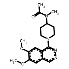 COc1cc2cnnc(N3CCC(N(C)C(C)=O)CC3)c2cc1OC